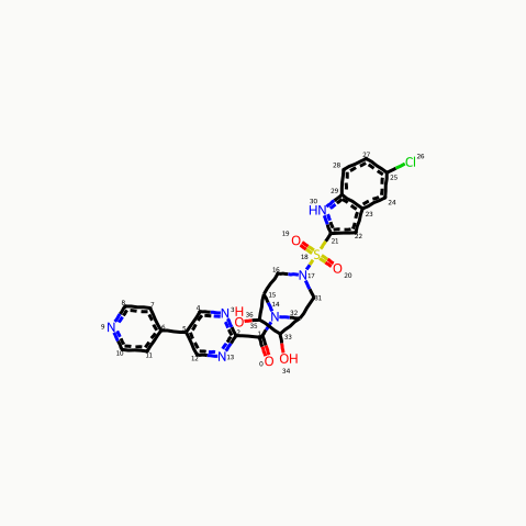 O=C(c1ncc(-c2ccncc2)cn1)N1C2CN(S(=O)(=O)c3cc4cc(Cl)ccc4[nH]3)CC1C(O)C2O